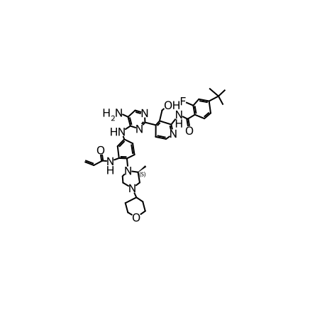 C=CC(=O)Nc1cc(Nc2nc(-c3ccnc(NC(=O)c4ccc(C(C)(C)C)cc4F)c3CO)ncc2N)ccc1N1CCN(C2CCOCC2)C[C@@H]1C